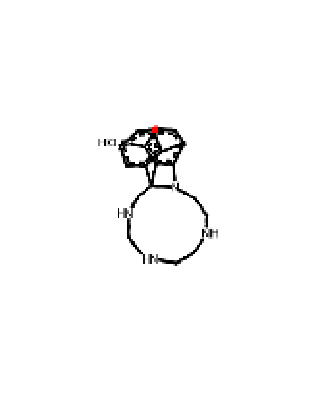 O=C(O)c1ccc2c3c1C1(CNCCNCCNCCN31)c1ccccc1-2